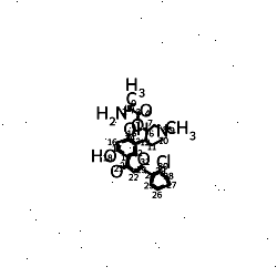 C[C@H](N)C(=O)OC1CN(C)CCC1c1c(O)cc(O)c2c(=O)cc(-c3ccccc3Cl)oc12